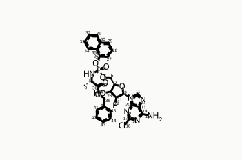 C[C@H](NP(=O)(OC[C@H]1O[C@@H](n2cnc3c(N)nc(Cl)nc32)C(F)C1O)Oc1cccc2ccccc12)C(=O)OCc1ccccc1